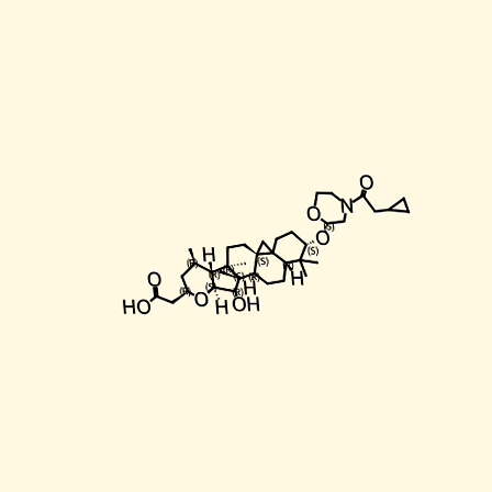 C[C@@H]1C[C@H](CC(=O)O)O[C@H]2[C@H]1[C@@]1(C)CC[C@@]34CC35CC[C@H](O[C@H]3CN(C(=O)CC6CC6)CCO3)C(C)(C)[C@@H]5CC[C@H]4[C@]1(C)[C@H]2O